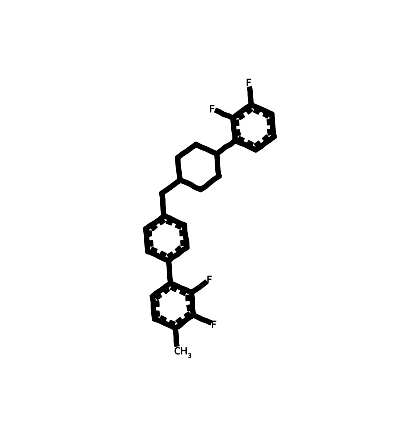 Cc1ccc(-c2ccc(CC3CCC(c4cccc(F)c4F)CC3)cc2)c(F)c1F